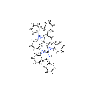 c1ccc(-c2nc(-n3c4ccccc4c4cc5c6c(c7ccccc7n6-c6ccccc6-c6ccccc6-5)c43)nc3ccccc23)cc1